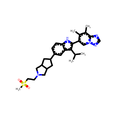 Cc1c(-c2[nH]c3ccc(C4CC5CN(CCS(C)(=O)=O)CC5C4)cc3c2C(C)C)cn2ncnc2c1C